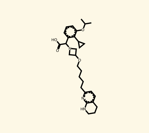 CC(C)Oc1cccc(C(C(=O)O)N2CC(OCCCCCc3ccc4c(n3)NCCC4)C2)c1C1CC1